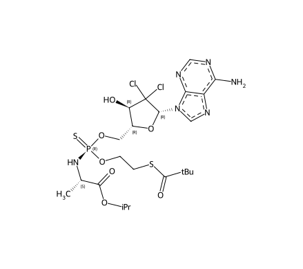 CC(C)OC(=O)[C@H](C)N[P@](=S)(OCCSC(=O)C(C)(C)C)OC[C@H]1O[C@@H](n2cnc3c(N)ncnc32)C(Cl)(Cl)[C@@H]1O